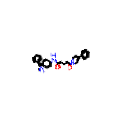 CN(C)C1(Cc2ccccc2)CCC(NC(=O)CCCC(=O)N2CC=C(c3ccccc3)CC2)CC1